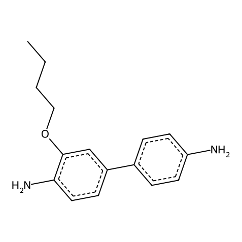 CCCCOc1cc(-c2ccc(N)cc2)ccc1N